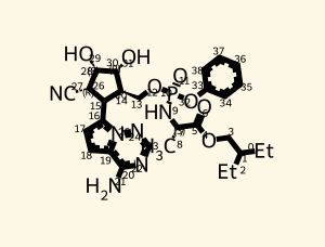 CCC(CC)COC(=O)[C@H](C)NP(=O)(OC[C@H]1C(c2ccc3c(N)ncnn23)[C@H](C#N)[C@H](O)[C@@H]1O)Oc1ccccc1